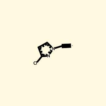 [C]#Cn1ccc(Cl)n1